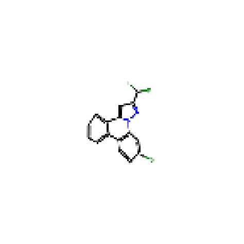 FC(F)c1cc(-c2ccccc2-c2ccc(Br)cc2)[nH]n1